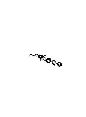 COc1ccc(C(=O)Nc2ccc(N3CCN(c4ccccc4)CC3)cc2)cc1